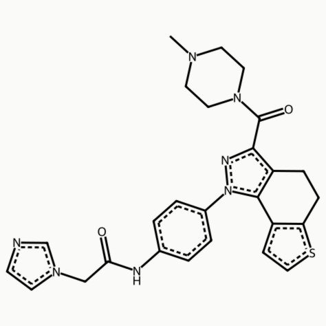 CN1CCN(C(=O)c2nn(-c3ccc(NC(=O)Cn4ccnc4)cc3)c3c2CCc2sccc2-3)CC1